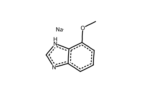 COc1cccc2nc[nH]c12.[Na]